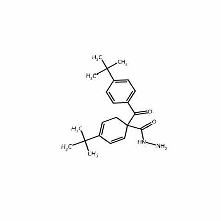 CC(C)(C)C1=CCC(C(=O)NN)(C(=O)c2ccc(C(C)(C)C)cc2)C=C1